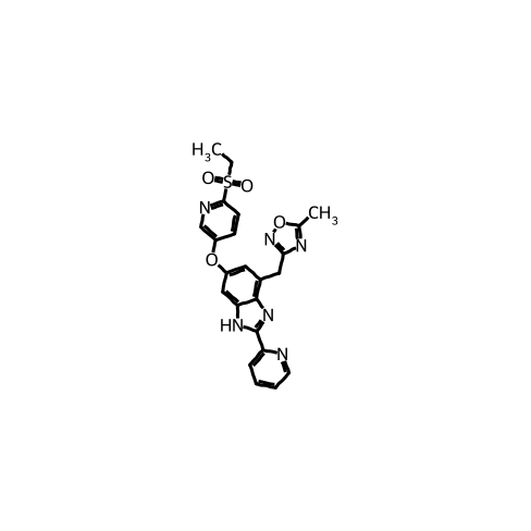 CCS(=O)(=O)c1ccc(Oc2cc(Cc3noc(C)n3)c3nc(-c4ccccn4)[nH]c3c2)cn1